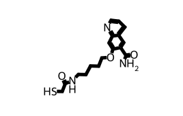 NC(=O)c1cc2cccnc2cc1OCCCCCNC(=O)CS